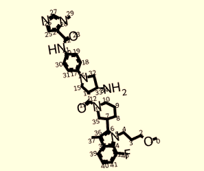 COCCCn1c(C2CCCN(C(=O)[C@@H]3CN(c4ccc(NC(=O)c5cncn5C)cc4)C[C@H]3N)C2)c(C)c2cccc(F)c21